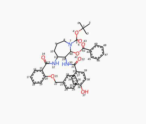 CC(C)(C)OC(=O)N1CCCC(NC(=O)c2ccccc2OCc2ccccc2)C(NC(=O)c2ccc(O)cc2)C1OC(=O)c1ccccc1